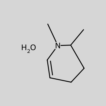 CC1CCC=CN1C.O